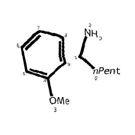 CCCCCCN.COc1ccccc1